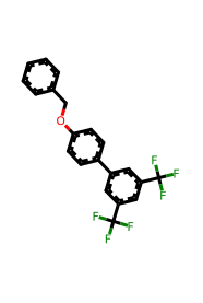 FC(F)(F)c1cc(-c2ccc(OCc3ccccc3)cc2)cc(C(F)(F)F)c1